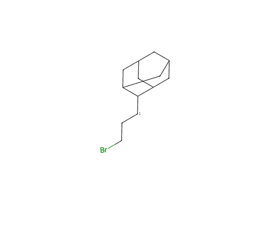 BrCC[C]C1C2CC3CC(C2)CC1C3